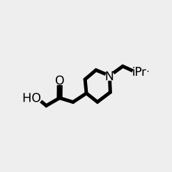 C[C](C)CN1CCC(CC(=O)CO)CC1